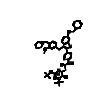 COc1cc(Cc2c(-c3ccc(NC(=O)CC(NC(=O)OC(C)(C)C)C(=O)OC(C)(C)C)cc3)sc3cc(OCc4ccccc4)ccc23)ccc1CN1CCCC1